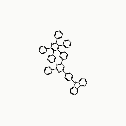 c1ccc(-c2nc(-c3ccc(-n4c5ccccc5c5ccccc54)cc3)cc(-c3cccc(-c4c(-c5ccccc5)c(-c5ccccc5)nc(-c5ccccc5)c4-c4ccccc4)c3)n2)cc1